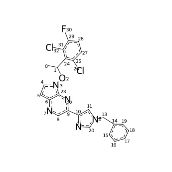 CC(On1ccc2ncc(-c3cn(Cc4ccccc4)cn3)nc21)c1c(Cl)ccc(F)c1Cl